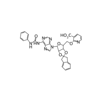 O=C(Nc1ccccc1)Nc1ncnc2c1ncn2C1OC(COc2ncccc2C(=O)O)C2OC3(Cc4ccccc4C3)OC21